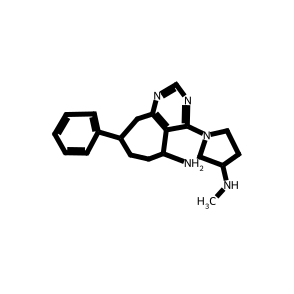 CNC1CCN(c2ncnc3c2C(N)CCC(c2ccccc2)C3)C1